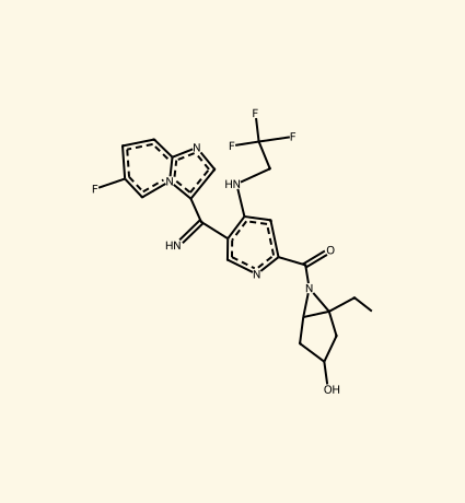 CCC12CC(O)CC1N2C(=O)c1cc(NCC(F)(F)F)c(C(=N)c2cnc3ccc(F)cn23)cn1